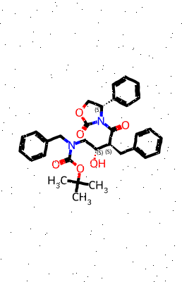 CC(C)(C)OC(=O)N(Cc1ccccc1)C[C@@H](O)[C@H](Cc1ccccc1)C(=O)N1C(=O)OC[C@@H]1c1ccccc1